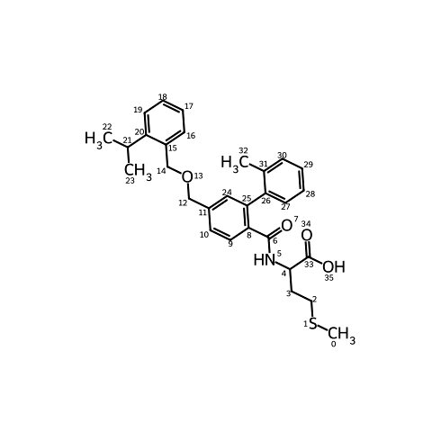 CSCCC(NC(=O)c1ccc(COCc2ccccc2C(C)C)cc1-c1ccccc1C)C(=O)O